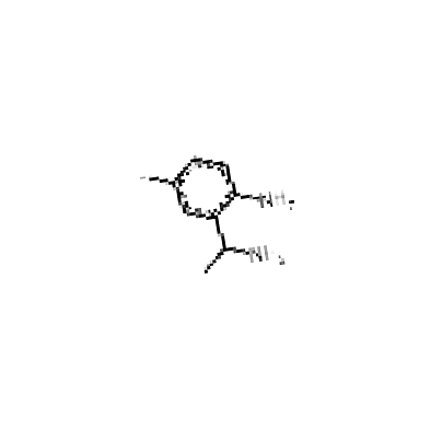 CC(N)c1cc(F)ccc1N